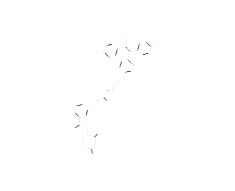 CCC(=C(c1ccc(O)cc1)c1ccc(OCCNC(=O)CSc2cccc3c2CN(C2CCC(=O)NC2=O)C3=O)cc1)c1ccc(O)cc1